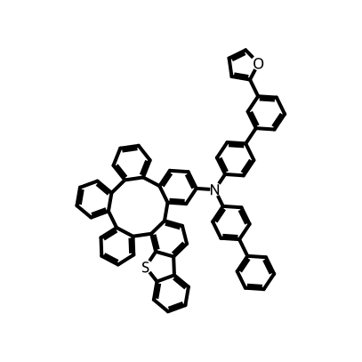 c1ccc(-c2ccc(N(c3ccc(-c4cccc(-c5ccco5)c4)cc3)c3ccc4c5ccccc5c5ccccc5c5ccccc5c5c(ccc6c7ccccc7sc65)c4c3)cc2)cc1